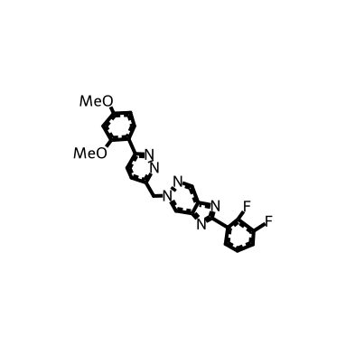 COc1ccc(-c2ccc(Cn3cc4nc(-c5cccc(F)c5F)nc-4cn3)nn2)c(OC)c1